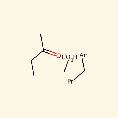 CC(=O)CC(C)C.CC(=O)O.CCC(C)=O